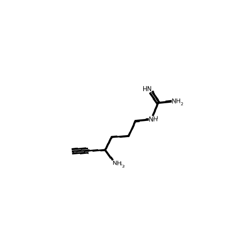 C#CC(N)CCCNC(=N)N